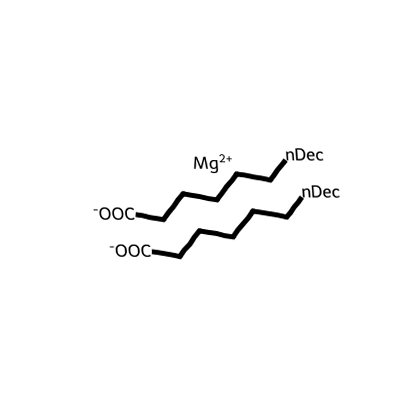 CCCCCCCCCCCCCCCC(=O)[O-].CCCCCCCCCCCCCCCC(=O)[O-].[Mg+2]